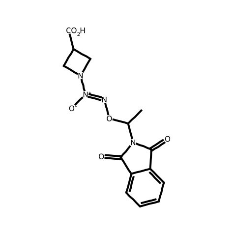 CC(O/N=[N+](\[O-])N1CC(C(=O)O)C1)N1C(=O)c2ccccc2C1=O